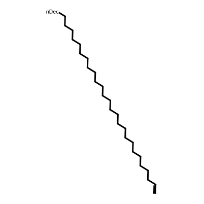 [CH]=CCCCCCCCCCCCCCCCCCCCCCCCCCCCCCCCCCC